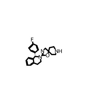 Fc1ccc([C@H]2c3ccccc3CCN2C2=NCC3(CCNCC3)O2)cc1